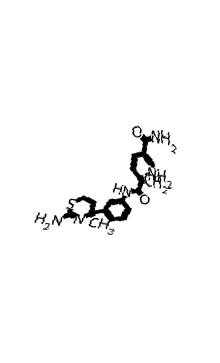 C=C(/C=C\C(=C/N)C(N)=O)C(=O)Nc1cccc(C2(C)CCSC(N)=N2)c1